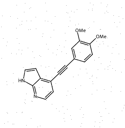 COc1ccc(C#Cc2ccnc3[nH]ccc23)cc1OC